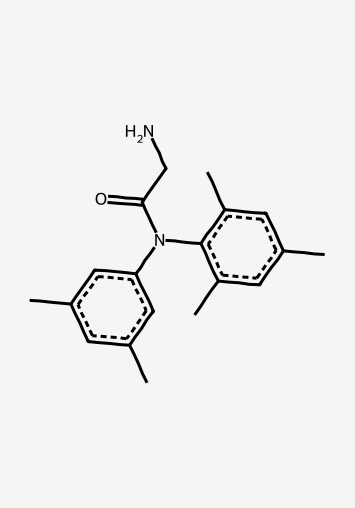 Cc1cc(C)cc(N(C(=O)CN)c2c(C)cc(C)cc2C)c1